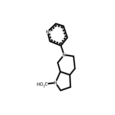 O=C(O)N1CCC2CCN(c3cccnc3)CC21